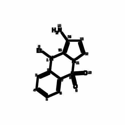 CCN1c2ccccc2S(=O)(=O)n2ccc(N)c21